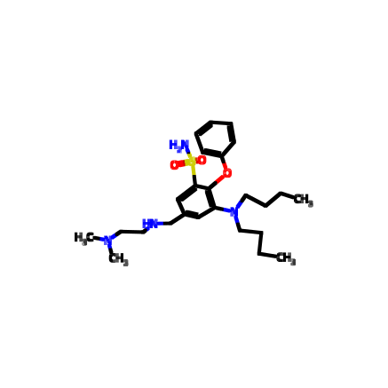 CCCCN(CCCC)c1cc(CNCCN(C)C)cc(S(N)(=O)=O)c1Oc1ccccc1